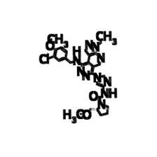 CCn1ncc2c3c(NCc4ccc(OC)c(Cl)c4)nnc(-n4cnc(NC(=O)N5CCC[C@@H]5COC)c4)c3cnc21